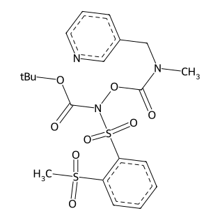 CN(Cc1cccnc1)C(=O)ON(C(=O)OC(C)(C)C)S(=O)(=O)c1ccccc1S(C)(=O)=O